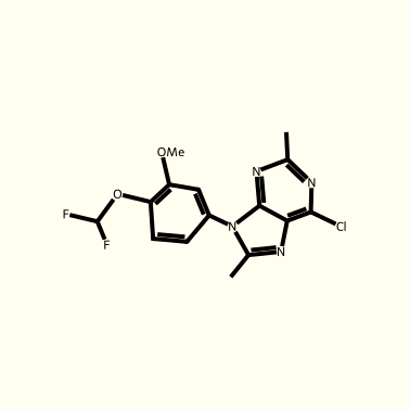 COc1cc(-n2c(C)nc3c(Cl)nc(C)nc32)ccc1OC(F)F